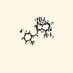 CC(C)(C)n1nc(Cc2cc(F)ccc2F)c2c(N)ncnc21